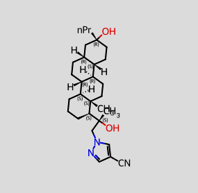 CCC[C@@]1(O)CC[C@H]2[C@H](CC[C@@H]3[C@@H]2CC[C@@]2(C)[C@H]3CCC[C@@H]2[C@](C)(O)Cn2cc(C#N)cn2)C1